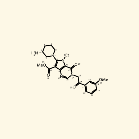 CCn1c(N2CCC[C@@H](N)C2)c(C(=O)OC)c2ncn(CC(=O)c3cccc(OC)c3)c(=O)c21